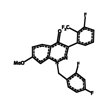 COc1ccc2c(=O)c(-c3cccc(F)c3C(F)(F)F)nn(Cc3ccc(F)cc3F)c2c1